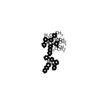 Cc1cc(C)c(-c2cc3c4c(c2)N(c2cc(C(C)(C)C)cc(C(C)(C)C)c2)c2cc5cc6ccc(-c7cccc8c7c7ccc9c%10c7n8-c7cc8cc%11ccccc%11cc8cc7B%10n7c8ccccc8c8cccc-9c87)cc6cc5cc2B4n2c4ccccc4c4cccc-3c42)c(C)c1